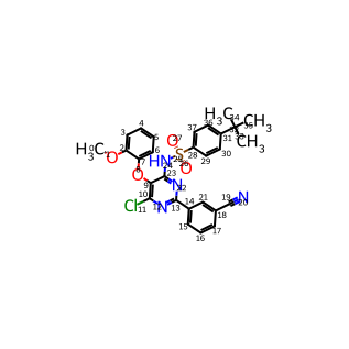 COc1ccccc1Oc1c(Cl)nc(-c2cccc(C#N)c2)nc1NS(=O)(=O)c1ccc(C(C)(C)C)cc1